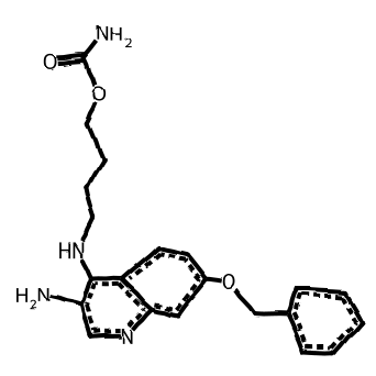 NC(=O)OCCCCNc1c(N)cnc2cc(OCc3ccccc3)ccc12